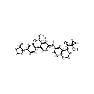 CC1Oc2cc(N3CCCC3=O)ccc2-c2cnc(Nc3cnc4c(c3)N(C(=O)C3(O)CC3)CCO4)cc21